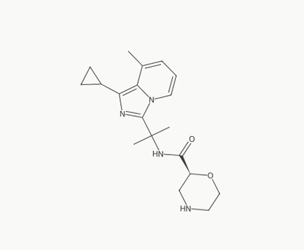 Cc1cccn2c(C(C)(C)NC(=O)[C@@H]3CNCCO3)nc(C3CC3)c12